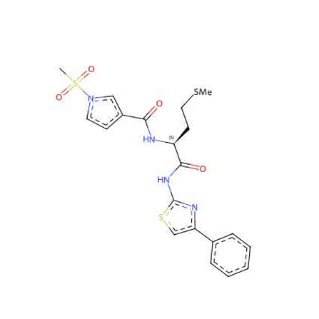 CSCC[C@H](NC(=O)c1ccn(S(C)(=O)=O)c1)C(=O)Nc1nc(-c2ccccc2)cs1